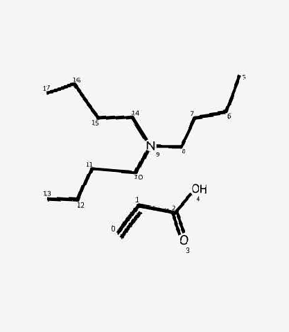 C=CC(=O)O.CCCCN(CCCC)CCCC